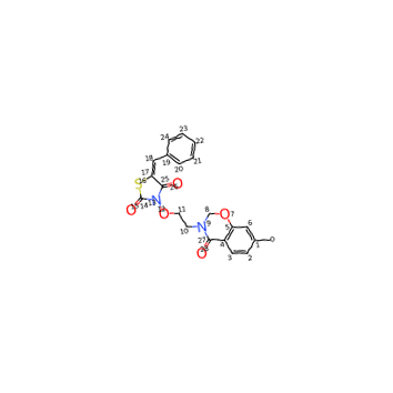 Cc1ccc2c(c1)OCN(CCON1C(=O)SC(=Cc3ccccc3)C1=O)C2=O